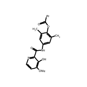 COc1ccnc(C(=O)Nc2cc(C)c(OC(=O)C(C)C)c(C)c2)c1O